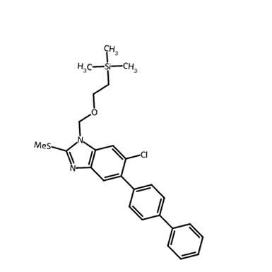 CSc1nc2cc(-c3ccc(-c4ccccc4)cc3)c(Cl)cc2n1COCC[Si](C)(C)C